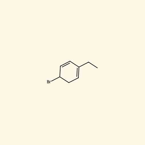 CCC1=CCC(Br)C=C1